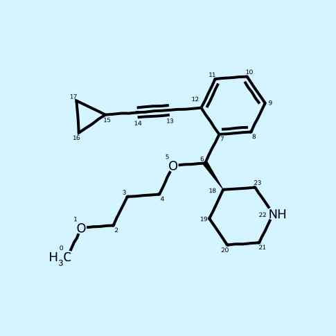 COCCCOC(c1ccccc1C#CC1CC1)[C@@H]1CCCNC1